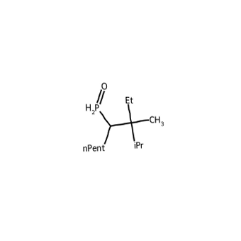 CCCCCC([PH2]=O)C(C)(CC)C(C)C